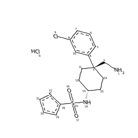 Cl.NC[C@]1(c2cccc(Cl)c2)CC[C@@H](NS(=O)(=O)c2cccs2)CC1